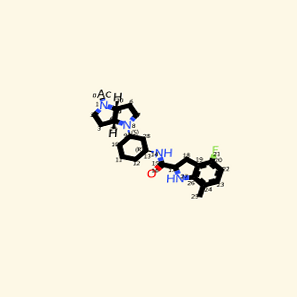 CC(=O)N1CC[C@@H]2[C@H]1CCN2[C@H]1CCC[C@@H](NC(=O)C2Cc3c(F)ccc(C)c3N2)C1